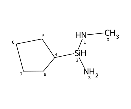 CN[SiH](N)C1CCCC1